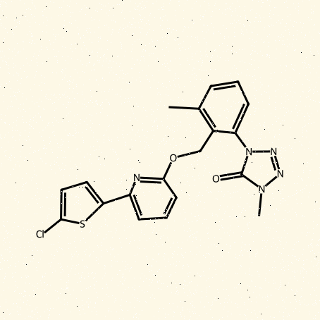 Cc1cccc(-n2nnn(C)c2=O)c1COc1cccc(-c2ccc(Cl)s2)n1